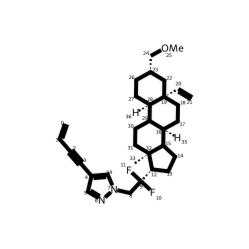 C=CC#Cc1cnn(CC(F)(F)[C@H]2CCC3[C@@H]4CC[C@]5(C=C)C[C@@H](COC)CC[C@@H]5C4CC[C@@]32C)c1